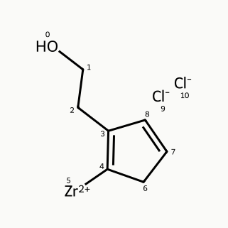 OCCC1=[C]([Zr+2])CC=C1.[Cl-].[Cl-]